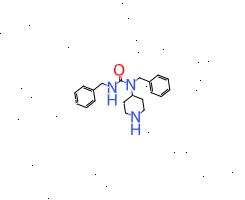 O=C(NCc1ccccc1)N(Cc1ccccc1)C1CCNCC1